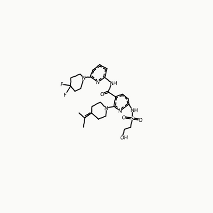 CC(C)=C1CCN(c2nc(NS(=O)(=O)CCO)ccc2C(=O)Nc2cccc(N3CCC(F)(F)CC3)n2)CC1